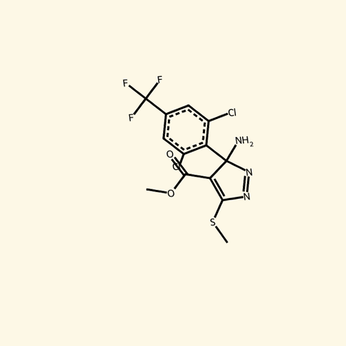 COC(=O)C1=C(SC)N=NC1(N)c1c(Cl)cc(C(F)(F)F)cc1Cl